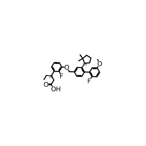 CC[C@H](CC(=O)O)c1cccc(OCc2ccc(-c3cc(OC)ccc3F)c([C@@H]3CCCC3(C)C)c2)c1F